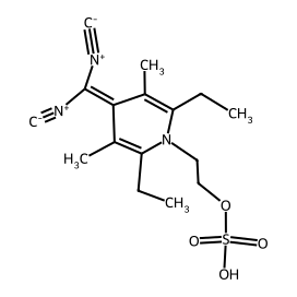 [C-]#[N+]C([N+]#[C-])=C1C(C)=C(CC)N(CCOS(=O)(=O)O)C(CC)=C1C